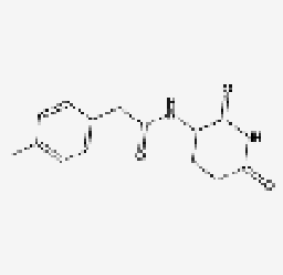 Cc1ccc(CC(=O)NC2CCC(=O)NC2=O)cc1